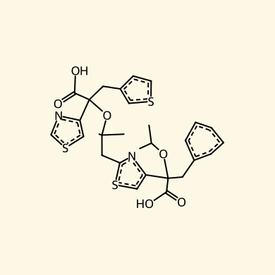 CC(C)OC(Cc1ccccc1)(C(=O)O)c1csc(CC(C)(C)OC(Cc2ccsc2)(C(=O)O)c2cscn2)n1